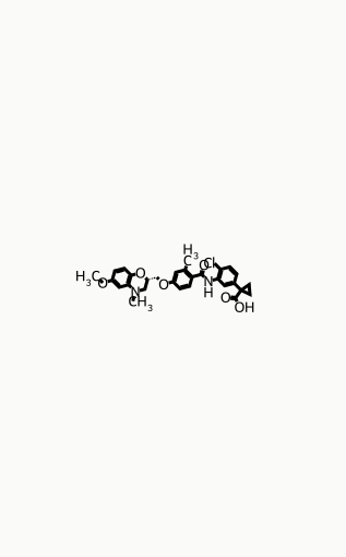 COc1ccc2c(c1)N(C)C[C@@H](COc1ccc(C(=O)Nc3cc(C4(C(=O)O)CC4)ccc3Cl)c(C)c1)O2